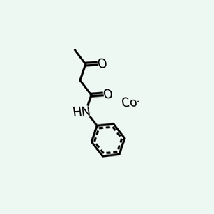 CC(=O)CC(=O)Nc1ccccc1.[Co]